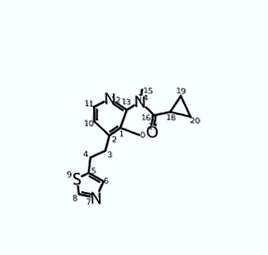 Cc1c(CCc2cncs2)ccnc1N(C)C(=O)C1CC1